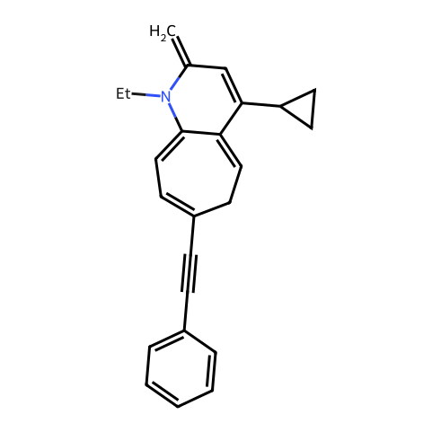 C=C1C=C(C2CC2)C2=CCC(C#Cc3ccccc3)=CC=C2N1CC